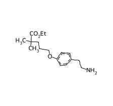 CCOC(=O)C(C)(C)CCCOc1ccc(CCN)cc1